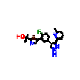 Cc1cccc(-c2n[nH]cc2-c2ccc(F)c(-c3cnc(C(C)(C)O)s3)c2)n1